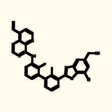 C=Cc1ccnc2c(Nc3cccc(-c4cccc(-c5nc6cc(CO)cc(Cl)c6o5)c4C)c3C)nccc12